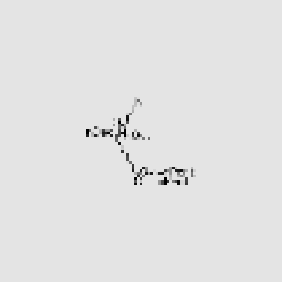 CCCCCCCCCCC(CCCCCCCC(=O)OCCC(CCCCC)CCCCC)N(CCCCCCCC)C(=O)CCCCN(C)C